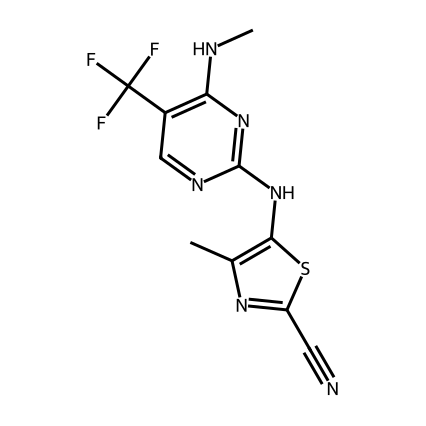 CNc1nc(Nc2sc(C#N)nc2C)ncc1C(F)(F)F